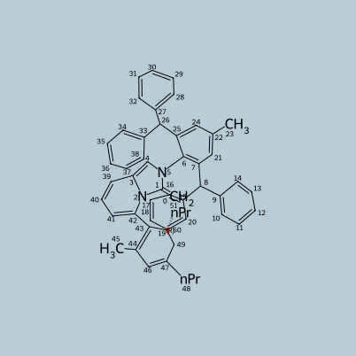 C=C1N2C(=CN1c1c(C(c3ccccc3)c3ccccc3)cc(C)cc1C(c1ccccc1)c1ccccc1)C=CC=C2C1=C(C)C=C(CCC)C[C@H]1CCC